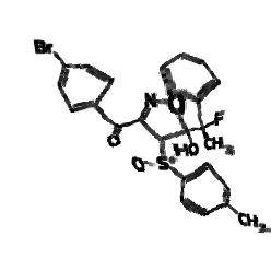 Cc1ccc([S@+]([O-])C2C(C(=O)c3ccc(Br)cc3)=NOC2(O)[C@@](C)(F)c2ccccc2)cc1